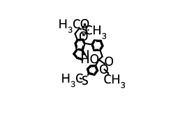 CCOC(=O)C(O)(Cc1cccc(-c2cc(CC(C)S(C)(=O)=O)cc3cccnc23)c1)c1ccc(SC)cc1